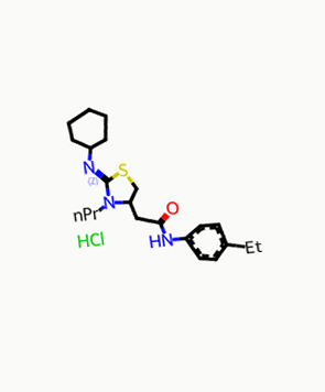 CCCN1/C(=N/C2CCCCC2)SCC1CC(=O)Nc1ccc(CC)cc1.Cl